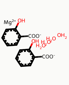 O.O.O.O.O=C([O-])c1ccccc1O.O=C([O-])c1ccccc1O.[Mg+2]